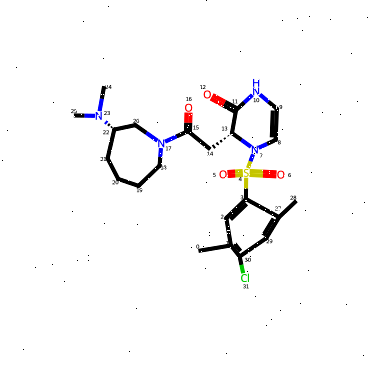 Cc1cc(S(=O)(=O)N2C=CNC(=O)[C@H]2CC(=O)N2CCCC[C@H](N(C)C)C2)c(C)cc1Cl